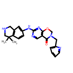 CC1(C)CNCc2cc(Nc3ncc4c(n3)OCN(Cc3ccccn3)C4=O)ccc21